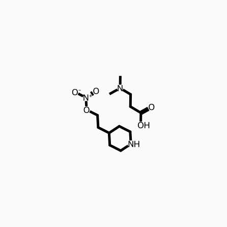 CN(C)CCC(=O)O.O=[N+]([O-])OCCC1CCNCC1